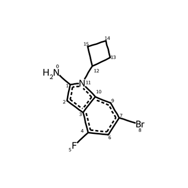 Nc1cc2c(F)cc(Br)cc2n1C1CCC1